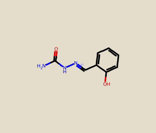 NC(=O)N/N=C/c1ccccc1O